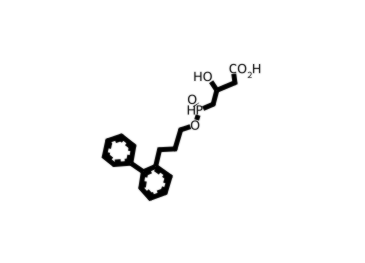 O=C(O)CC(O)C[PH](=O)OCCCc1ccccc1-c1ccccc1